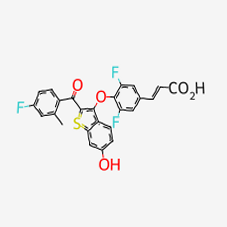 Cc1cc(F)ccc1C(=O)c1sc2cc(O)ccc2c1Oc1c(F)cc(/C=C/C(=O)O)cc1F